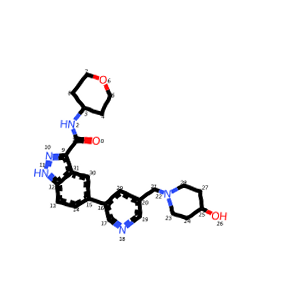 O=C(NC1CCOCC1)c1n[nH]c2ccc(-c3cncc(CN4CCC(O)CC4)c3)cc12